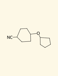 N#CC1CCC(OC2CCCC2)CC1